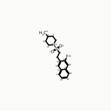 CC1CCN(S(=O)(=O)CCc2cc3ccccc3cc2F)CC1